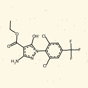 CCOC(=O)c1c(N)nn(-c2c(Cl)cc(C(F)(F)F)cc2Cl)c1O